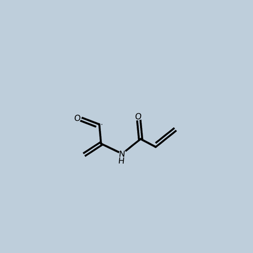 C=CC(=O)NC(=C)[C]=O